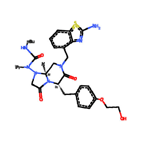 CCCCNC(=O)N(C(C)C)N1CC(=O)N2[C@@H](Cc3ccc(OCCO)cc3)C(=O)N(Cc3cccc4sc(N)nc34)C[C@@H]21